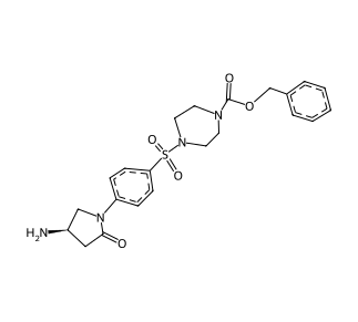 N[C@@H]1CC(=O)N(c2ccc(S(=O)(=O)N3CCN(C(=O)OCc4ccccc4)CC3)cc2)C1